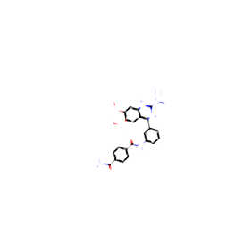 CNC(=O)c1ccc(C(=O)Nc2cccc(-c3nc(NC)nc4cc(OC)c(OC)cc34)c2)cc1